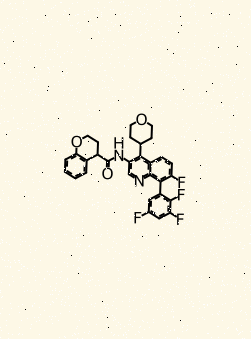 O=C(Nc1cnc2c(-c3cc(F)cc(F)c3F)c(F)ccc2c1C1CCOCC1)C1CCOc2ccccc21